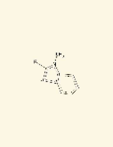 Cn1c(F)[c]c2ccccc21